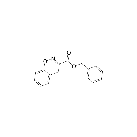 O=C(OCc1ccccc1)C1=NOc2ccccc2C1